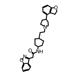 O=C(Cc1noc2ccccc12)NC1CCC(CCN2CCC(c3cccc4c3CCO4)CC2)CC1